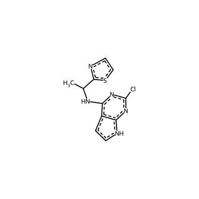 CC(Nc1nc(Cl)nc2[nH]ccc12)c1nccs1